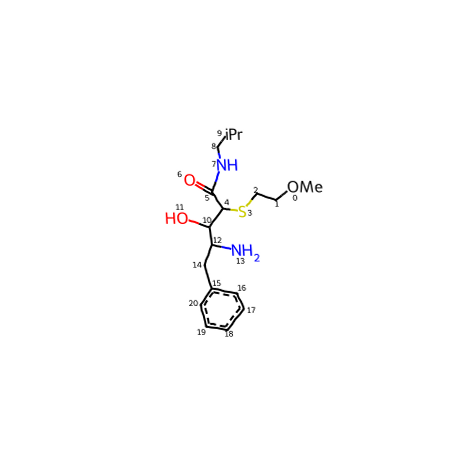 COCCSC(C(=O)NCC(C)C)C(O)C(N)Cc1ccccc1